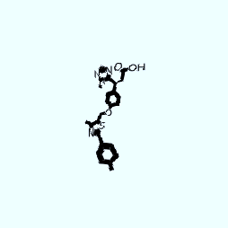 Cc1ccc(-c2nc(C)c(COc3ccc([C@H](CC(=O)O)c4ncnn4C)cc3)s2)cc1